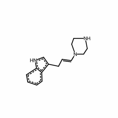 C(=CN1CCNCC1)Cc1c[nH]c2ccccc12